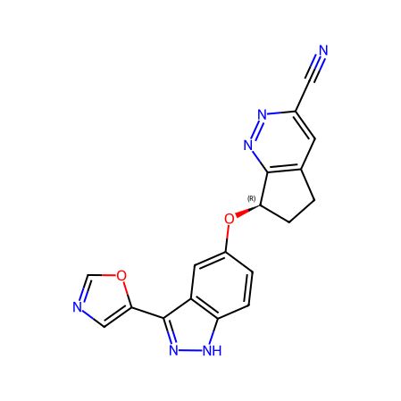 N#Cc1cc2c(nn1)[C@H](Oc1ccc3[nH]nc(-c4cnco4)c3c1)CC2